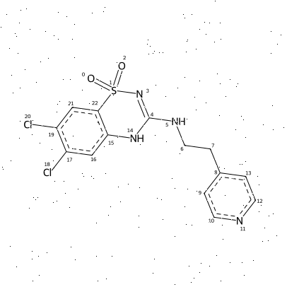 O=S1(=O)N=C(NCCc2ccncc2)Nc2cc(Cl)c(Cl)cc21